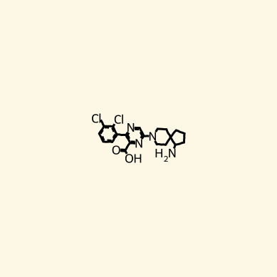 NC1CCCC12CCN(c1cnc(-c3cccc(Cl)c3Cl)c(C(=O)O)n1)CC2